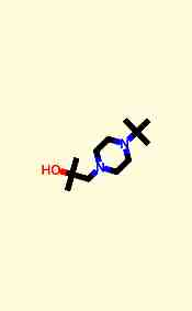 CC(C)(O)CN1CCN(C(C)(C)C)CC1